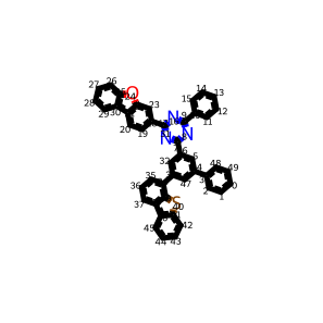 c1ccc(-c2cc(-c3nc(-c4ccccc4)nc(-c4ccc5c(c4)oc4ccccc45)n3)cc(-c3cccc4c3sc3ccccc34)c2)cc1